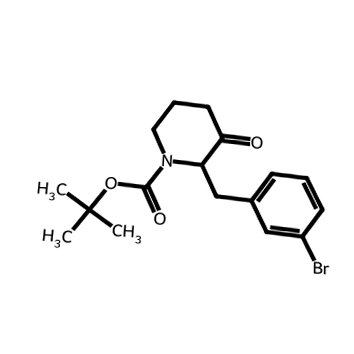 CC(C)(C)OC(=O)N1CCCC(=O)C1Cc1cccc(Br)c1